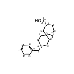 O=C(O)N1CCOC2(CCN(Cc3ccccc3)CC2)C1